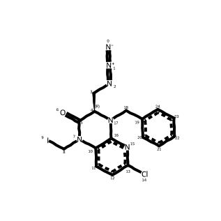 [N-]=[N+]=NC[C@@H]1C(=O)N(CI)c2ccc(Cl)nc2N1Cc1ccccc1